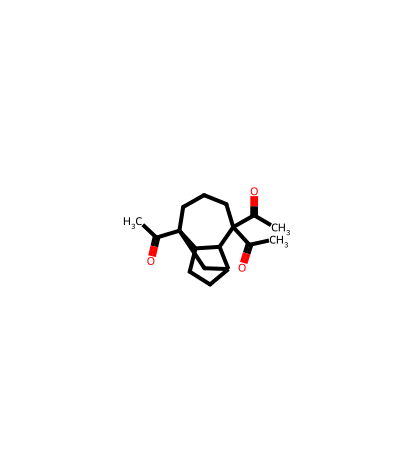 CC(=O)C12CCCC(C(C)=O)(C(C)=O)C3C(CCC31)C2